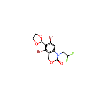 O=C1OCc2c(cc(Br)c(C3OCCO3)c2Br)N1CC(F)F